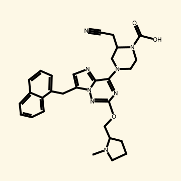 CN1CCCC1COc1nc(N2CCN(C(=O)O)C(CC#N)C2)c2ncc(Cc3cccc4ccccc34)n2n1